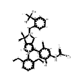 CCc1cccc(CC)c1-n1nc2c(c1-c1cc(F)c(NC(N)=O)cc1C)CN(Cc1ccccc1C(F)(F)F)C2(C)C